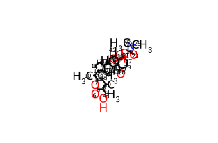 CC1=C(CO)C(=O)O[C@@H]([C@@H](C)[C@H]2CC[C@H]3[C@@H]4C[C@H]5O[C@]56[C@@H](OC(=O)N(C)C)C=CC(=O)[C@]6(CO)[C@H]4CC[C@]23C)C1